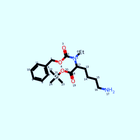 CCN(C(=O)OCc1ccccc1)C(CCCCN)C(=O)O[Si](C)(C)C